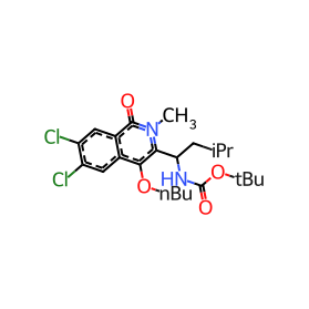 CCCCOc1c(C(CC(C)C)NC(=O)OC(C)(C)C)n(C)c(=O)c2cc(Cl)c(Cl)cc12